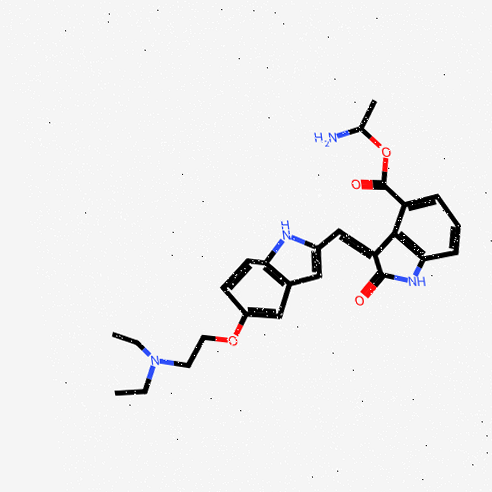 CCN(CC)CCOc1ccc2[nH]c(C=C3C(=O)Nc4cccc(C(=O)OC(C)N)c43)cc2c1